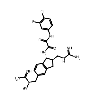 CC(C)N(Cc1ccc2c(c1)C[C@H](CNC(=N)N)[C@H]2NC(=O)C(=O)Nc1ccc(Cl)c(F)c1)C(=N)N